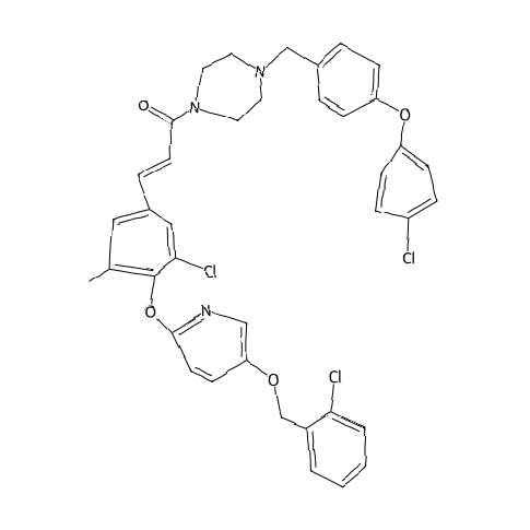 Cc1cc(C=CC(=O)N2CCN(Cc3ccc(Oc4ccc(Cl)cc4)cc3)CC2)cc(Cl)c1Oc1ccc(OCc2ccccc2Cl)cn1